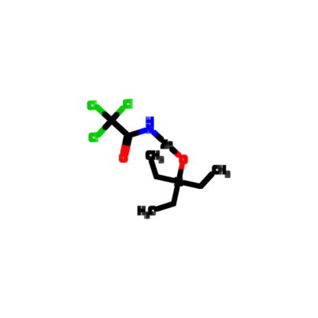 CC[Si](CC)(CC)[O][Zn][NH]C(=O)C(Cl)(Cl)Cl